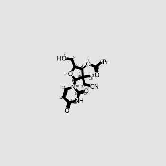 CC(C)C(=O)O[C@@H]1C(CO)OC(n2ccc(=O)[nH]c2=O)C1(C)CC#N